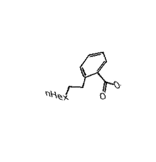 CCCCCCCCc1ccccc1C([O])=O